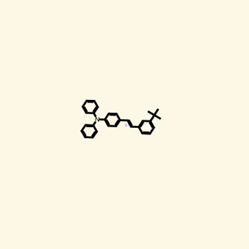 CC(C)(C)c1cccc(/C=C/c2ccc(N(c3ccccc3)c3ccccc3)cc2)c1